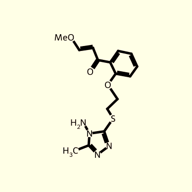 COC=CC(=O)c1ccccc1OCCSc1nnc(C)n1N